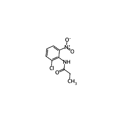 CCC(=O)Nc1c(Cl)cccc1[N+](=O)[O-]